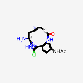 CC(=O)Nc1ccc2c(c1)NC(=O)CC/C=C/C[C@H](N)c1nc-2c(Cl)[nH]1